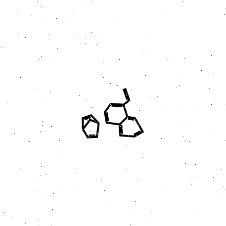 C1=CC2C=CC1C2.C=Cc1cccc2ccccc12